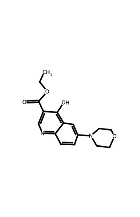 CCOC(=O)c1cnc2ccc(N3CCOCC3)cc2c1O